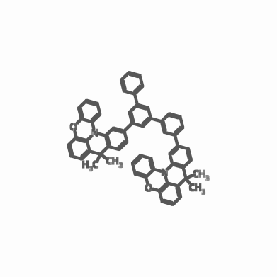 CC1(C)c2ccc(-c3cccc(-c4cc(-c5ccccc5)cc(-c5ccc6c(c5)N5c7ccccc7Oc7cccc(c75)C6(C)C)c4)c3)cc2N2c3ccccc3Oc3cccc1c32